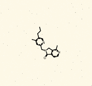 CCCc1cnc(CN2Cc3c(ccnc3C)C2=O)cc1C